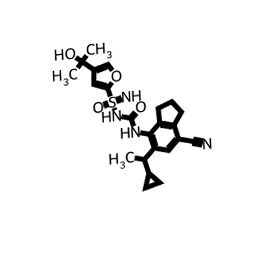 CC(c1cc(C#N)c2c(c1NC(=O)NS(=N)(=O)c1cc(C(C)(C)O)co1)CCC2)C1CC1